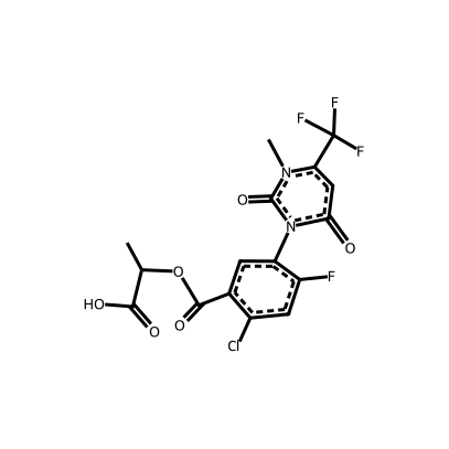 CC(OC(=O)c1cc(-n2c(=O)cc(C(F)(F)F)n(C)c2=O)c(F)cc1Cl)C(=O)O